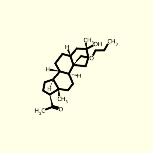 CCCOC[C@]12CC[C@@](C)(O)C[C@H]1CC[C@H]1[C@@H]3CC[C@H](C(C)=O)[C@@]3(C)CC[C@@H]12